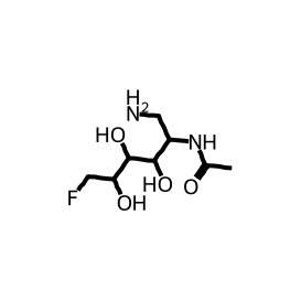 CC(=O)NC(CN)C(O)C(O)C(O)CF